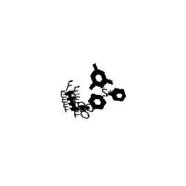 Cc1cc(C)c([S+](c2ccccc2)c2ccccc2)c(C)c1.O=S(=O)([O-])C(F)(F)C(F)(F)C(F)(F)C(F)(F)F